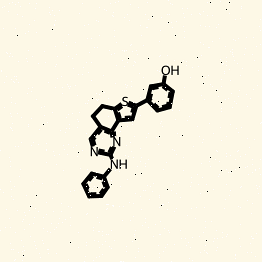 Oc1cccc(-c2cc3c(s2)CCc2cnc(Nc4ccccc4)nc2-3)c1